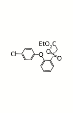 CCOC(=O)CS(=O)(=O)c1ccccc1Oc1ccc(Cl)cc1